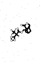 O=C1OC2C(COC(=O)C(F)(C3OOO3)C(F)(F)F)C3CC1C2C3